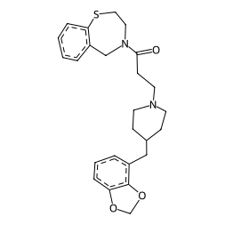 O=C(CCN1CCC(Cc2cccc3c2OCO3)CC1)N1CCSc2ccccc2C1